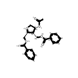 CC(=O)O[C@H]1CO[C@H](COC(=O)c2ccccc2)[C@H]1COC(=O)c1ccccc1